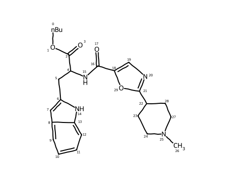 CCCCOC(=O)C(Cc1cc2ccccc2[nH]1)NC(=O)c1cnc(C2CCN(C)CC2)o1